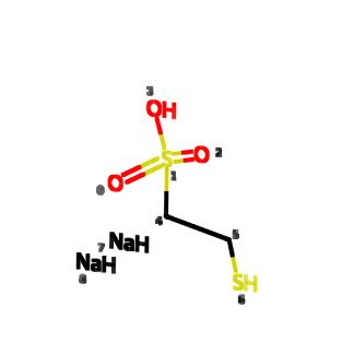 O=S(=O)(O)CCS.[NaH].[NaH]